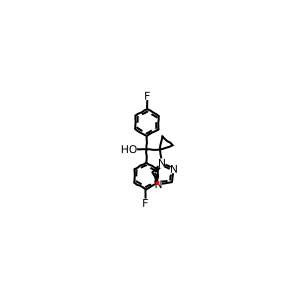 OC(c1ccc(F)cc1)(c1ccc(F)cc1)C1(n2cncn2)CC1